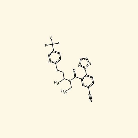 CCN(C(=O)c1cc(C#N)ccc1-n1nccn1)C(C)COc1ccc(C(F)(F)F)cn1